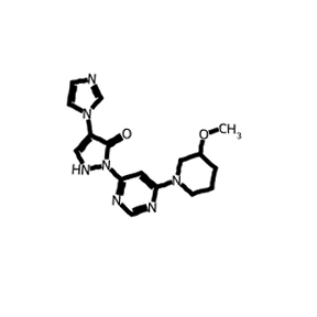 COC1CCCN(c2cc(-n3[nH]cc(-n4ccnc4)c3=O)ncn2)C1